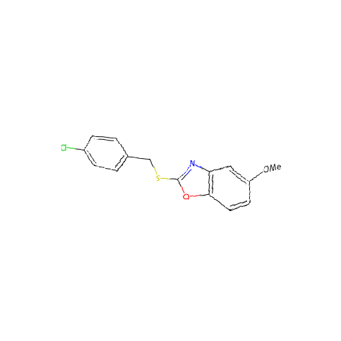 COc1ccc2oc(SCc3ccc(Cl)cc3)nc2c1